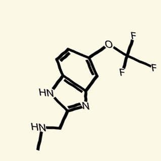 CNCc1nc2cc(OC(F)(F)F)ccc2[nH]1